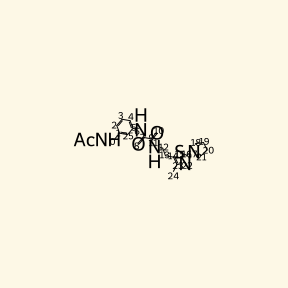 CC(=O)Nc1cccc(NC(=O)C(=O)NCCc2sc(N3CCCC3)nc2C)c1